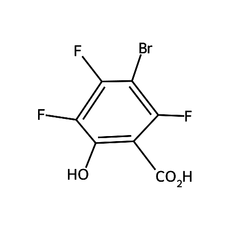 O=C(O)c1c(O)c(F)c(F)c(Br)c1F